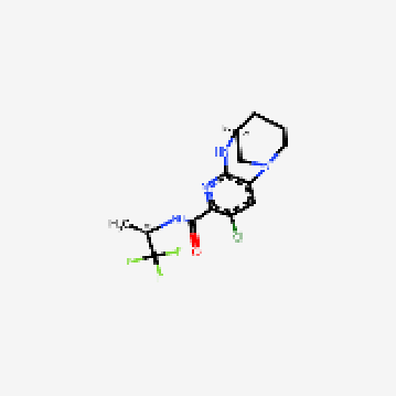 C[C@@H](NC(=O)c1nc2c(cc1Cl)N1CCC[C@@H](C1)N2)C(F)(F)F